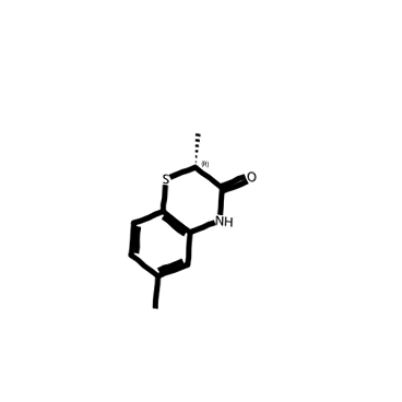 Cc1ccc2c(c1)NC(=O)[C@@H](C)S2